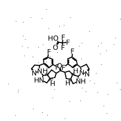 O=C(C1C[C@H]2CNC(N3N=CCC3c3cc(F)cc(F)c3)[C@H]2C1)C1C[C@H]2CNC(N3N=CCC3c3cc(F)cc(F)c3)[C@H]2C1.O=C(O)C(F)(F)F